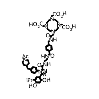 CC(=O)N1CCC(Cc2ccc(-n3c(C(=O)NCCNC(=O)c4ccc(CNC(=O)CN5CCN(CC(=O)O)CCN(CC(=O)O)CCN(CC(=O)O)CC5)cc4)nnc3-c3cc(C(C)C)c(O)cc3O)cc2)CC1